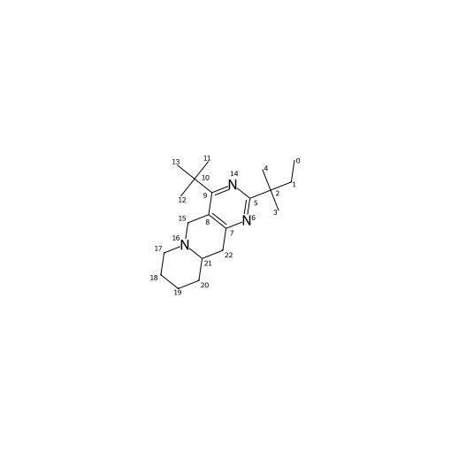 CCC(C)(C)c1nc2c(c(C(C)(C)C)n1)CN1CCCCC1C2